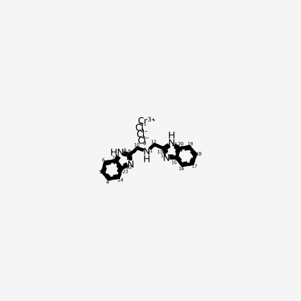 [Cl-].[Cl-].[Cl-].[Cr+3].c1ccc2[nH]c(CNCc3nc4ccccc4[nH]3)nc2c1